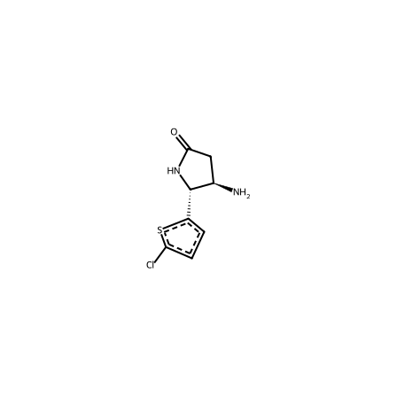 N[C@@H]1CC(=O)N[C@H]1c1ccc(Cl)s1